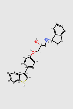 O[C@H](CNC1CCc2ccccc21)COc1ccc(-c2csc3ccccc23)cc1